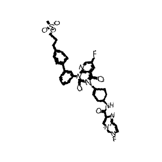 CS(=O)(=O)OCCCc1ccc(-c2cccc(-n3c(=O)n(C4CCC(NC(=O)C5=C[N+]6CN(F)C=CC6=N5)CC4)c(=O)c4cc(F)cnc43)c2)cc1